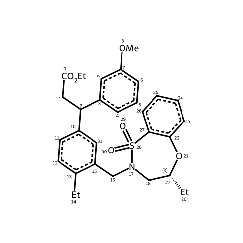 CCOC(=O)CC(c1cccc(OC)c1)c1ccc(CC)c(CN2C[C@@H](CC)Oc3ccccc3S2(=O)=O)c1